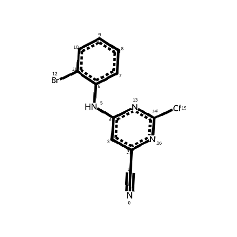 N#Cc1cc(Nc2ccccc2Br)nc(Cl)n1